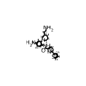 NCCC1CCCN(c2cc(N)ccc2NC(=O)c2csc(-c3cccs3)n2)C1